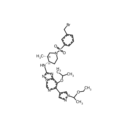 CCOC(C)n1cc(-c2ncn3nc(N[C@H]4CCN(S(=O)(=O)c5cccc(CBr)c5)C[C@H]4C)nc3c2OC(C)C)cn1